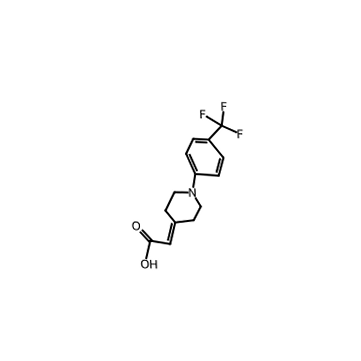 O=C(O)C=C1CCN(c2ccc(C(F)(F)F)cc2)CC1